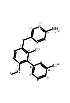 COc1ccc(Cc2ccc(N)nc2)c(F)c1-c1cccc(Cl)c1